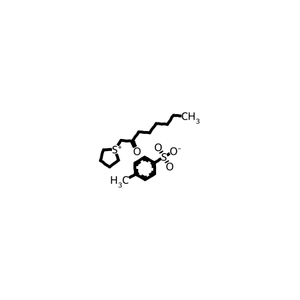 CCCCCCC(=O)C[S+]1CCCC1.Cc1ccc(S(=O)(=O)[O-])cc1